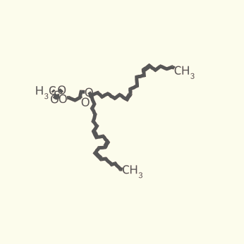 CCCCC/C=C\C/C=C\C/C=C\CCCCCC1(CCCCC/C=C\CCCC/C=C\CCCCC)OCC(CCOS(C)(=O)=O)O1